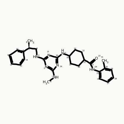 CNc1nc(NC[C@H](C)c2ccccc2)nc(NC2CCC(C(=O)Nc3ccccc3C)CC2)n1